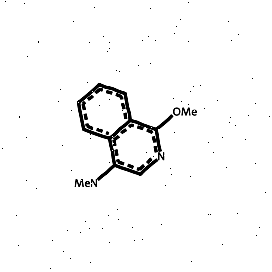 CNc1cnc(OC)c2ccccc12